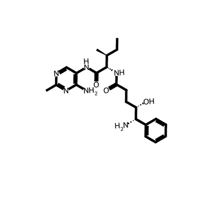 CC[C@H](C)[C@H](NC(=O)CC[C@H](O)[C@@H](N)c1ccccc1)C(=O)Nc1cnc(C)nc1N